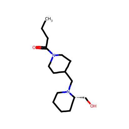 CCCC(=O)N1CCC(CN2CCCC[C@H]2CO)CC1